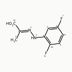 CC(=NNc1cc(F)ccc1F)C(=O)O